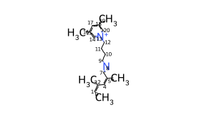 C\C=C(C)/C=C(C)\C=N\CCCC[n+]1cc(C)cc(C)c1